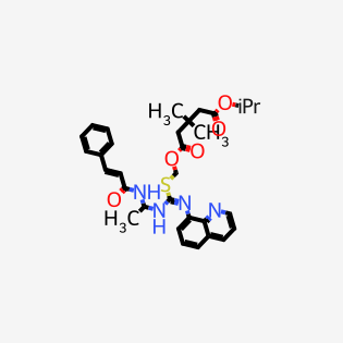 CC(NC(=O)/C=C/c1ccccc1)N/C(=N\c1cccc2cccnc12)SCOC(=O)CC(C)(C)CC(=O)OC(C)C